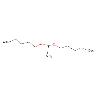 CCCCCCCCCCCCCCOC([SiH3])OCCCCCCCCCCCCCC